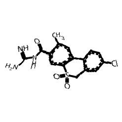 Cc1cc2c(cc1C(=O)NC(=N)N)S(=O)(=O)Cc1cc(Cl)ccc1-2